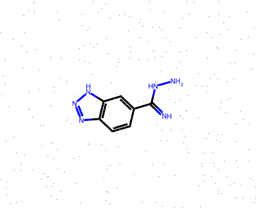 N=C(NN)c1ccc2nn[nH]c2c1